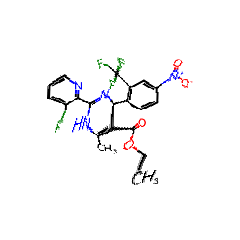 CCOC(=O)C1=C(C)NC(c2ncccc2F)=NC1c1ccc([N+](=O)[O-])cc1C(F)(F)F